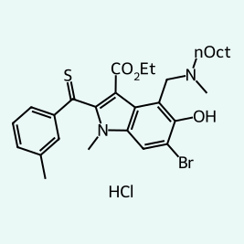 CCCCCCCCN(C)Cc1c(O)c(Br)cc2c1c(C(=O)OCC)c(C(=S)c1cccc(C)c1)n2C.Cl